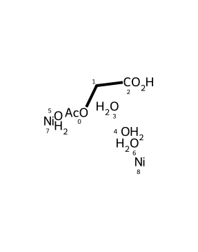 CC(=O)OCC(=O)O.O.O.O.O.[Ni].[Ni]